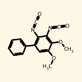 COc1cc(-c2ccccc2)c(N=C=O)c(N=C=O)c1OC